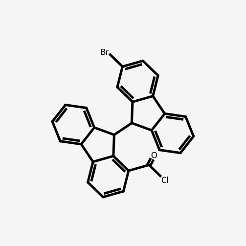 O=C(Cl)c1cccc2c1C(C1c3ccccc3-c3ccc(Br)cc31)c1ccccc1-2